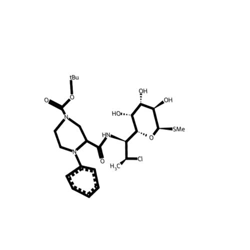 CS[C@H]1O[C@H]([C@H](NC(=O)C2CN(C(=O)OC(C)(C)C)CCN2c2ccccc2)[C@H](C)Cl)[C@H](O)[C@H](O)[C@H]1O